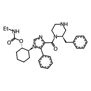 CCNC(=O)O[C@H]1CCCC[C@@H]1n1cnc(C(=O)N2CCNC[C@H]2Cc2ccccc2)c1-c1ccccc1